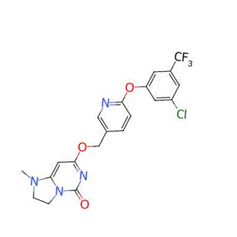 CN1CCn2c1cc(OCc1ccc(Oc3cc(Cl)cc(C(F)(F)F)c3)nc1)nc2=O